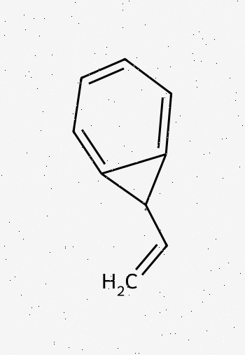 C=C[C]1c2ccccc21